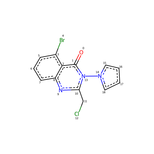 O=c1c2c(Br)cccc2nc(CCl)n1-n1cccc1